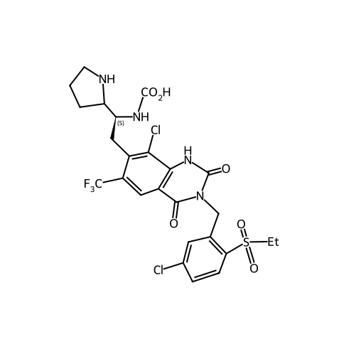 CCS(=O)(=O)c1ccc(Cl)cc1Cn1c(=O)[nH]c2c(Cl)c(C[C@H](NC(=O)O)C3CCCN3)c(C(F)(F)F)cc2c1=O